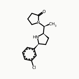 C[C@@H]([C@H]1CC[C@@H](c2cccc(Cl)c2)N1)N1CCCC1=O